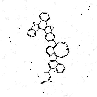 C=C/C=C\C(=C)c1ccc(-c2ccccccc(-c3ccc4c(c3)oc3c5ccccc5c5sc6ccccc6c5c43)c3ccccc23)c2ccccc12